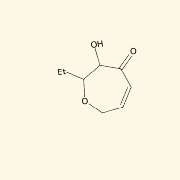 CCC1OCC=CC(=O)C1O